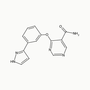 NC(=O)c1cncnc1Oc1cccc(-c2cc[nH]n2)c1